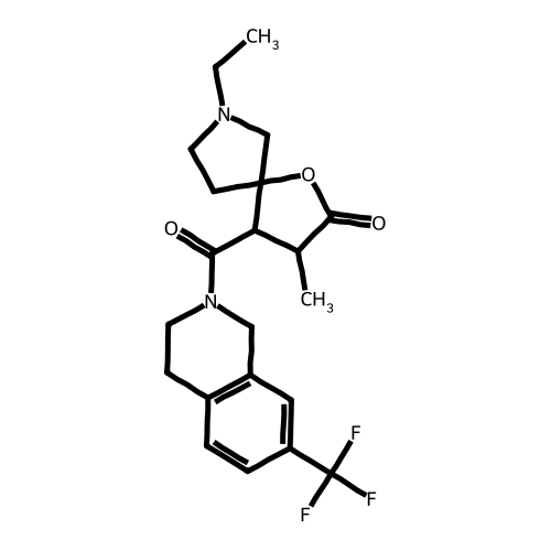 CCN1CCC2(C1)OC(=O)C(C)C2C(=O)N1CCc2ccc(C(F)(F)F)cc2C1